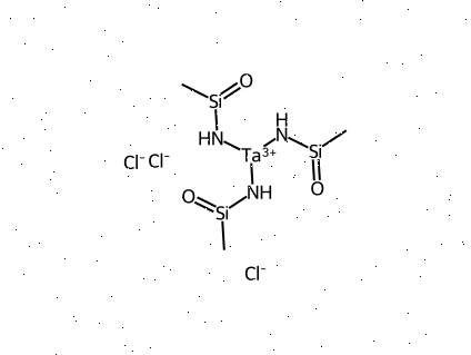 C[Si](=O)[NH][Ta+3]([NH][Si](C)=O)[NH][Si](C)=O.[Cl-].[Cl-].[Cl-]